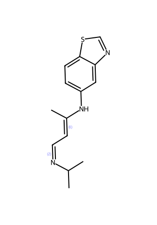 C/C(=C\C=N/C(C)C)Nc1ccc2scnc2c1